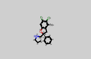 [2H]c1c(Cl)c(F)cc2c1C[C@](c1ccccc1)([C@@H]1CCCN1)O2